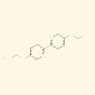 CCOc1ccc(-c2ccc(OCC)cn2)nc1